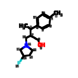 Cc1ccc(C(C)C(CO)CN2CCC(F)C2)cc1